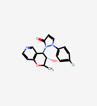 CC1Oc2ccncc2[C@@H](n2c(=O)ccn2-c2ccc(Cl)cc2)[C@@H]1O